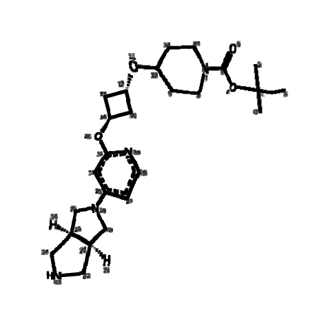 CC(C)(C)OC(=O)N1CCC(O[C@H]2C[C@H](Oc3cc(N4C[C@H]5CNC[C@H]5C4)ccn3)C2)CC1